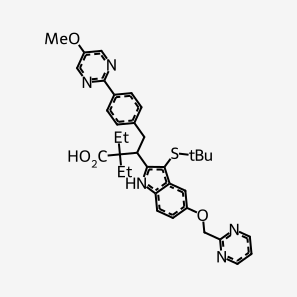 CCC(CC)(C(=O)O)C(Cc1ccc(-c2ncc(OC)cn2)cc1)c1[nH]c2ccc(OCc3ncccn3)cc2c1SC(C)(C)C